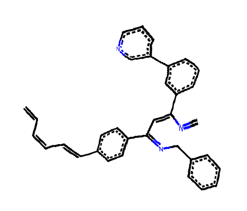 C=C/C=C\C=C\c1ccc(C(/C=C(\N=C)c2cccc(-c3cccnc3)c2)=N/Cc2ccccc2)cc1